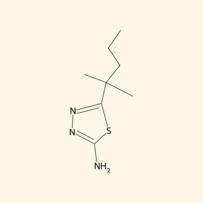 CCCC(C)(C)c1nnc(N)s1